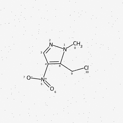 Cn1ncc([N+](=O)[O-])c1CCl